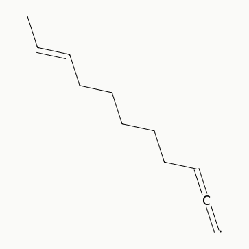 [CH]=C=CCCCCCC=CC